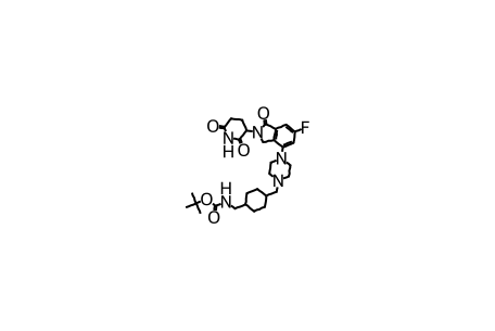 CC(C)(C)OC(=O)NCC1CCC(CN2CCN(c3cc(F)cc4c3CN(C3CCC(=O)NC3=O)C4=O)CC2)CC1